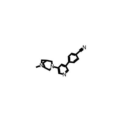 CN1CC2CC1CN(c1cncc(-c3ccc(C#N)cc3)c1)C2